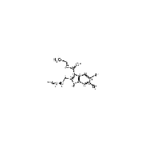 CCOC(=O)c1c(CN=[N+]=[N-])sc2cc(Br)c(I)cc12